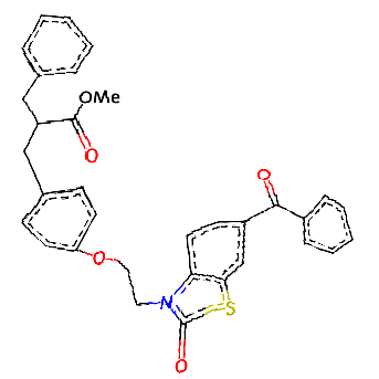 COC(=O)C(Cc1ccccc1)Cc1ccc(OCCn2c(=O)sc3cc(C(=O)c4ccccc4)ccc32)cc1